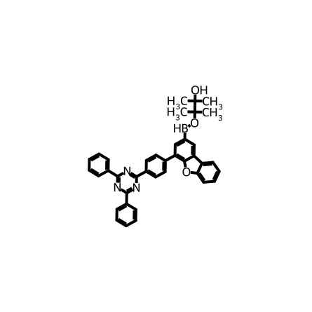 CC(C)(O)C(C)(C)OBc1cc(-c2ccc(-c3nc(-c4ccccc4)nc(-c4ccccc4)n3)cc2)c2oc3ccccc3c2c1